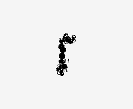 COC(=O)N[C@H](C(=O)N1CCC[C@H]1c1ncc(-c2ccc(-c3ccc4cc(-c5cnc([C@@H]6C[Si](C)(C)CN6C(=O)[C@@H](NC(=O)OC)C(C)C)[nH]5)ccc4c3)cc2)[nH]1)C(C)C